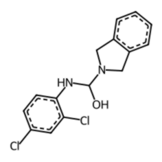 OC(Nc1ccc(Cl)cc1Cl)N1Cc2ccccc2C1